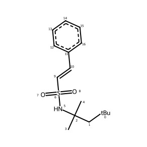 CC(C)(C)CC(C)(C)NS(=O)(=O)/C=C/c1ccccc1